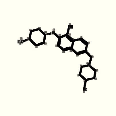 CC(=O)C1CCN(Cc2ccc3c(C#N)c(O[C@H]4CC[C@@H](C(F)(F)F)CC4)ccc3c2)CC1